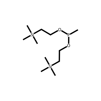 CP(OCC[Si](C)(C)C)OCC[Si](C)(C)C